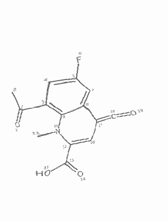 CC(=O)c1cc(F)cc2c1N(C)C(C(=O)O)=CC2=C=O